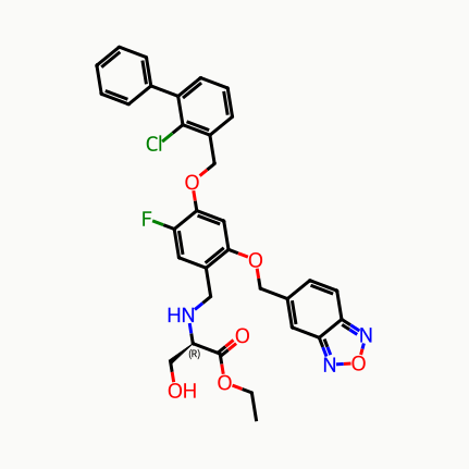 CCOC(=O)[C@@H](CO)NCc1cc(F)c(OCc2cccc(-c3ccccc3)c2Cl)cc1OCc1ccc2nonc2c1